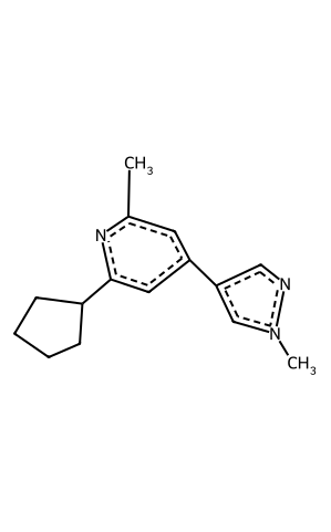 Cc1cc(-c2cnn(C)c2)cc(C2CCCC2)n1